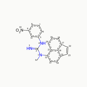 CN(C(=N)Nc1cccc([N+](=O)[O-])c1)c1ccc2c3c(cccc13)C=C2